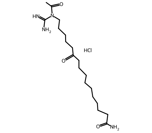 CC(=O)N(CCCCCC(=O)CCCCCCCCCC(N)=O)C(=N)N.Cl